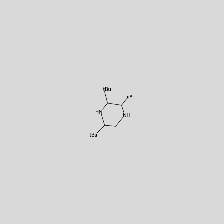 CCCC1NCC(C(C)(C)C)NC1C(C)(C)C